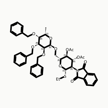 CCS[C@@H]1O[C@H](CO[C@@H]2O[C@@H](C)[C@@H](OCc3ccccc3)[C@@H](OCc3ccccc3)[C@@H]2OCc2ccccc2)[C@@H](OC(C)=O)[C@H](OC(C)=O)[C@H]1N1C(=O)c2ccccc2C1=O